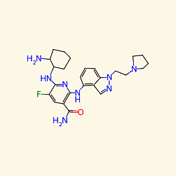 NC(=O)c1cc(F)c(NC2CCCCC2N)nc1Nc1cccc2c1cnn2CCN1CCCC1